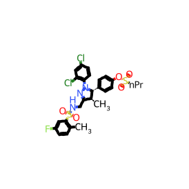 CCCS(=O)(=O)Oc1ccc([C@@H]2[C@H](C)C(CNS(=O)(=O)c3cc(F)ccc3C)=NN2c2ccc(Cl)cc2Cl)cc1